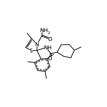 CC1=CSC(NC(=O)C2CCC(C)CC2)(c2c(C)cc(C)cc2C)N1C(N)=O